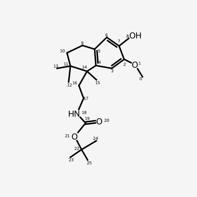 COc1cc2c(cc1O)CCC(C)(C)C2(C)CCNC(=O)OC(C)(C)C